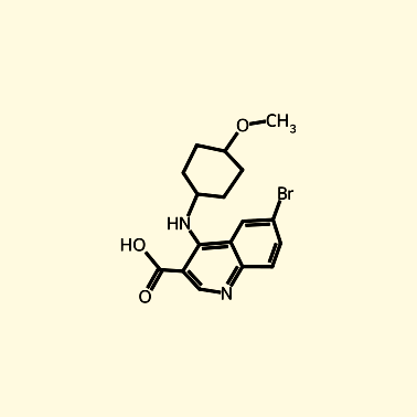 COC1CCC(Nc2c(C(=O)O)cnc3ccc(Br)cc23)CC1